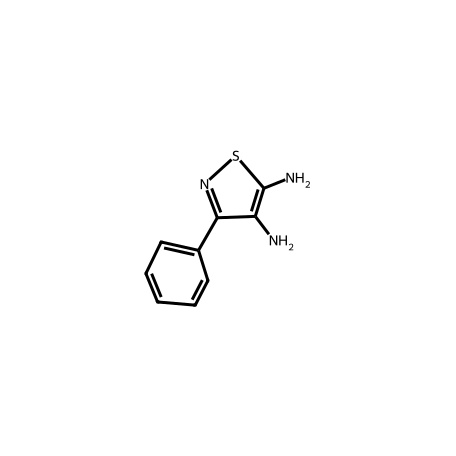 Nc1snc(-c2ccccc2)c1N